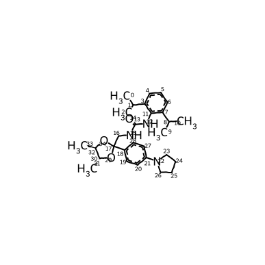 CC(C)c1cccc(C(C)C)c1NC(=O)NCC1(c2ccc(N3CCCC3)cc2)O[C@H](C)[C@@H](C)O1